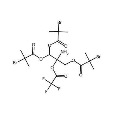 CC(C)(Br)C(=O)OCC(N)(OC(=O)C(F)(F)F)C(OC(=O)C(C)(C)Br)OC(=O)C(C)(C)Br